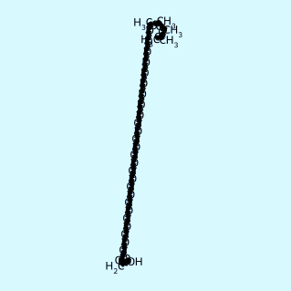 C=C(CC(=O)O)C(=O)OCCOCCOCCOCCOCCOCCOCCOCCOCCOCCOCCOCCOCCOCCOCCOCCOCCOCCOCCCOCCCOCCCOCCCOCCCOCCCOCCCOCCCOCC(C)OCC(C)OCC(C)OCC(C)OC